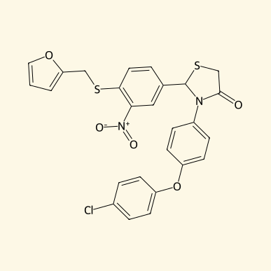 O=C1CSC(c2ccc(SCc3ccco3)c([N+](=O)[O-])c2)N1c1ccc(Oc2ccc(Cl)cc2)cc1